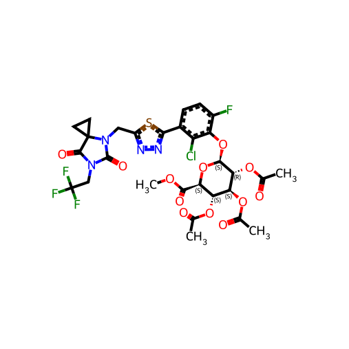 COC(=O)[C@H]1O[C@@H](Oc2c(F)ccc(-c3nnc(CN4C(=O)N(CC(F)(F)F)C(=O)C45CC5)s3)c2Cl)[C@H](OC(C)=O)[C@@H](OC(C)=O)[C@@H]1OC(C)=O